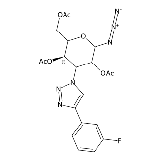 CC(=O)OCC1OC(N=[N+]=[N-])C(OC(C)=O)C(n2cc(-c3cccc(F)c3)nn2)[C@H]1OC(C)=O